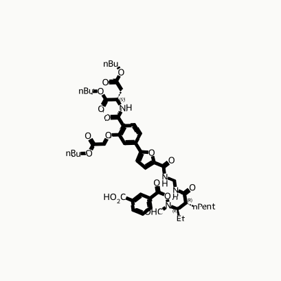 CCCCC[C@@H](C(=O)NCNC(=O)c1ccc(-c2ccc(C(=O)N[C@@H](CC(=O)OCCCC)C(=O)OCCCC)c(OCC(=O)OCCCC)c2)o1)[C@@H](CC)N(C=O)OC(=O)c1cccc(C(=O)O)c1